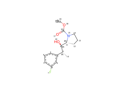 C[C@H](c1cccc(F)c1)[C@@H](O)[C@H]1CCCN1C(=O)OC(C)(C)C